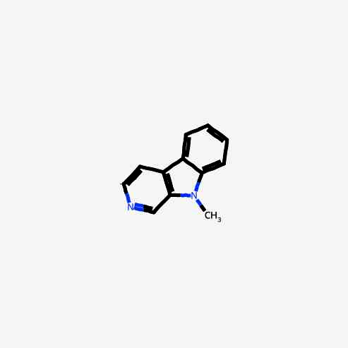 Cn1c2ccccc2c2c[c]ncc21